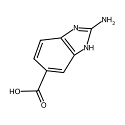 Nc1nc2ccc(C(=O)O)cc2[nH]1